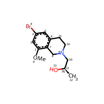 COc1cc(Br)cc2c1CN(C[C@@H](C)O)CC2